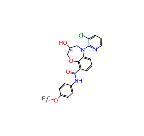 O=C(Nc1ccc(OC(F)(F)F)cc1)c1cccc2c1OC[C@@H](O)CN2c1ncccc1Cl